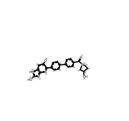 O=C(c1ccc(-c2ccc(-c3nc4nc(O)[nH]c4cc3Cl)cc2)cc1)N1CCC(O)C1